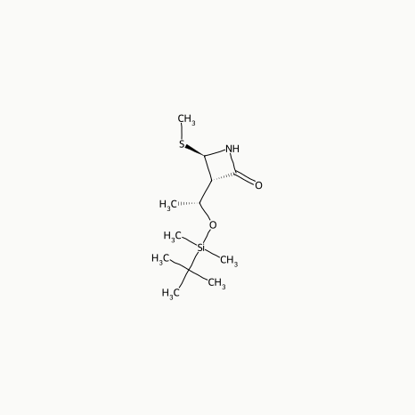 CS[C@H]1NC(=O)[C@@H]1[C@@H](C)O[Si](C)(C)C(C)(C)C